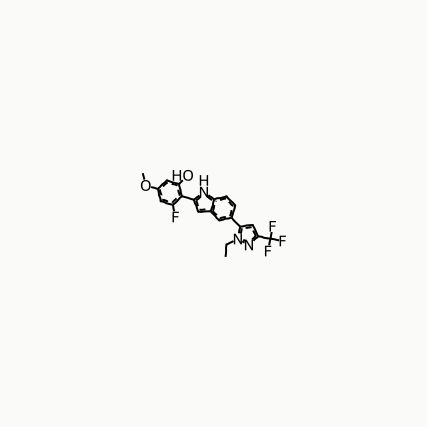 CCn1nc(C(F)(F)F)cc1-c1ccc2[nH]c(-c3c(O)cc(OC)cc3F)cc2c1